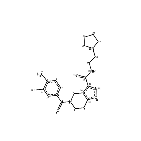 Cc1ccc(C(=O)N2CCc3onc(C(=O)NCCN4CCCC4)c3C2)cc1F